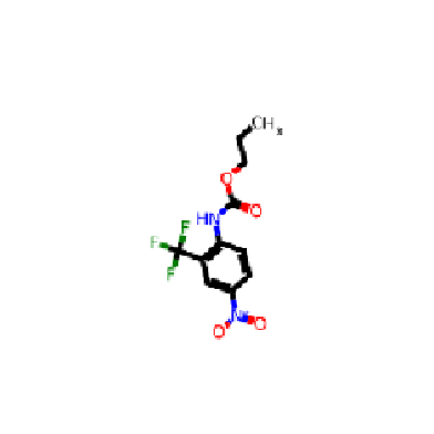 CCCOC(=O)Nc1ccc([N+](=O)[O-])cc1C(F)(F)F